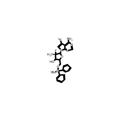 [3H]c1cn(C2OC(CO[Si](c3ccccc3)(c3ccccc3)C(C)(C)C)C(O)[C@]2(C)F)c2ncnc(N)c12